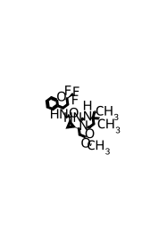 CCC1(CC)CC(=O)N(C(CCOC)[C@@H]2C[C@H]2C(=O)N[C@H]2C[C@H](C(F)(F)F)Oc3ccccc32)C(=N)N1